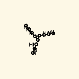 C1=CC(c2ccc(-c3ccccn3)nc2)NC=C1c1ccc2c(c1)c1ccc(-c3ccc(-c4ccc(-c5ccccn5)nc4)nc3)cc1c1ccc(-c3ccc(-c4ccc(-c5ccccn5)nc4)nc3)cc21